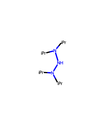 CC(C)N(NN(C(C)C)C(C)C)C(C)C